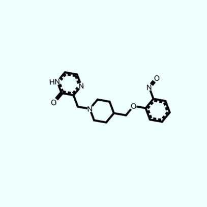 O=Nc1ccccc1OCC1CCN(Cc2ncc[nH]c2=O)CC1